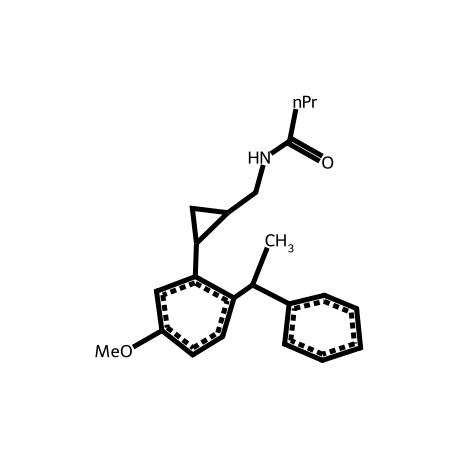 CCCC(=O)NCC1CC1c1cc(OC)ccc1C(C)c1ccccc1